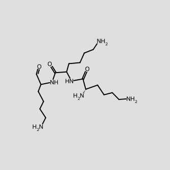 NCCCCC(C=O)NC(=O)C(CCCCN)NC(=O)[C@@H](N)CCCCN